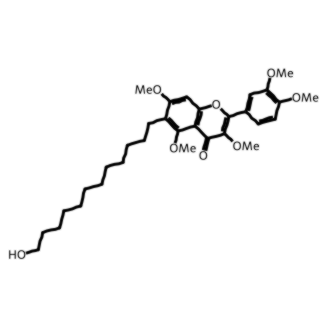 COc1ccc(-c2oc3cc(OC)c(CCCCCCCCCCCCO)c(OC)c3c(=O)c2OC)cc1OC